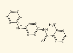 Nc1ccccc1C(=O)Nc1ccc(Nc2ccccc2)cc1